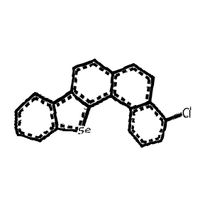 Clc1cccc2c1ccc1ccc3c4ccccc4[se]c3c12